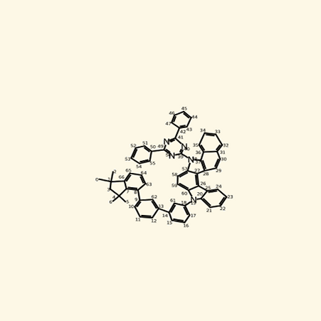 CC1(C)CC(C)(C)c2c(-c3cccc(-c4cccc(-n5c6ccccc6c6c7c8ccc9ccccc9c8n(-c8nc(-c9ccccc9)nc(-c9ccccc9)n8)c7ccc65)c4)c3)cccc21